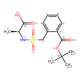 C[C@H](NS(=O)(=O)Cc1ccccc1C(=O)OC(C)(C)C)C(=O)O